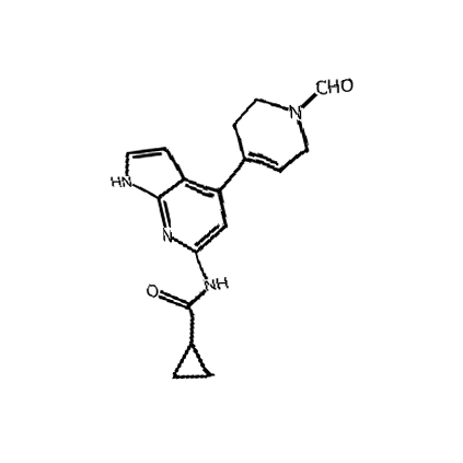 O=CN1CC=C(c2cc(NC(=O)C3CC3)nc3[nH]ccc23)CC1